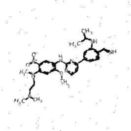 COc1cc(N(C)CCN(C)C)c([N+](=O)[O-])cc1Nc1nccc(-c2ccc(C=N)c(NC(C)C)c2)n1